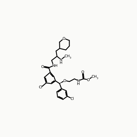 CNC(CNC(=O)c1cc(Cl)cc([C@@H](OCCNC(=O)OC)c2cccc(Cl)c2)c1)CC1CCCOC1